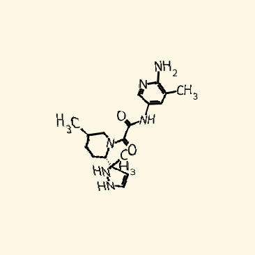 Cc1cc(NC(=O)C(=O)N2C[C@H](C)CC[C@H]2C2(C)C=CNN2)cnc1N